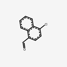 O=[C]c1ccc(Cl)c2ccccc12